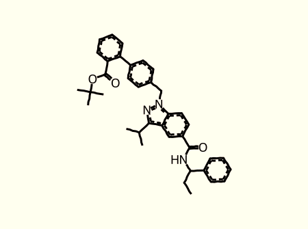 CCC(NC(=O)c1ccc2c(c1)c(C(C)C)nn2Cc1ccc(-c2ccccc2C(=O)OC(C)(C)C)cc1)c1ccccc1